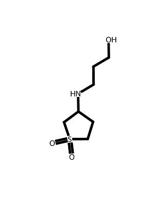 O=S1(=O)CCC(NCCCO)C1